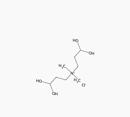 C[N+](C)(CCC(O)O)CCC(O)O.[Cl-]